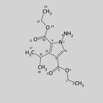 CCOC(=O)c1cn(N)c(C(=O)OCC)c1C(C)C